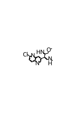 CN/C=C(\C(=N)COC)c1cnc2ccc(Cl)nc2c1